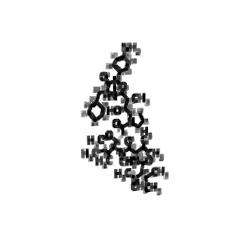 CC[C@H](C)[C@@H]([C@@H](CC(=O)N1CCC[C@H]1[C@H](O)[C@@H](C)C(=O)N[C@@H](Cc1ccccc1)C(=O)Nc1ccc(N)cc1)OC)N(C)C(=O)[C@@H](NC(=O)[C@H](C(C)C)N(C)C)C(C)C